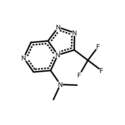 CN(C)c1cncc2nnc(C(F)(F)F)n12